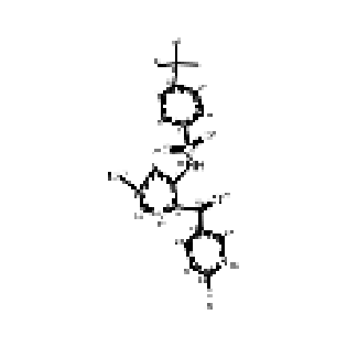 CC(C)(C)c1ccc(S(=O)(=O)Nc2cc(Cl)cnc2C(=O)c2ccc(F)nc2)cc1